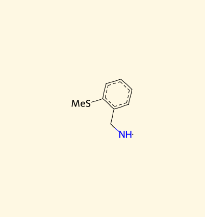 CSc1ccccc1C[NH]